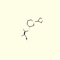 C/C(N[C@H]1CCCN(C2COC2)C1)=C(/C=N)[N+](=O)[O-]